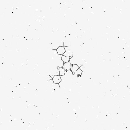 CC(C)CC(C)(C)Cn1c(=O)n(CC2(C)CC(C)CC(C)(C)C2)c(=O)n(CC2(C)CC(C)CC(C)(C)C2)c1=O